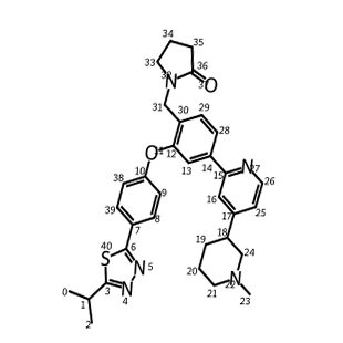 CC(C)c1nnc(-c2ccc(Oc3cc(-c4cc(C5CCCN(C)C5)ccn4)ccc3CN3CCCC3=O)cc2)s1